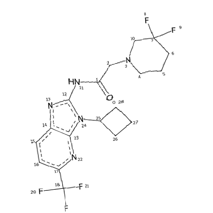 O=C(CN1CCCC(F)(F)C1)Nc1nc2ccc(C(F)(F)F)nc2n1C1CCC1